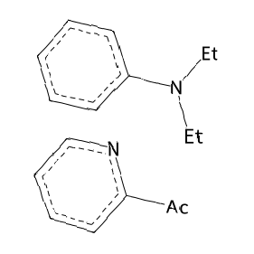 CC(=O)c1ccccn1.CCN(CC)c1ccccc1